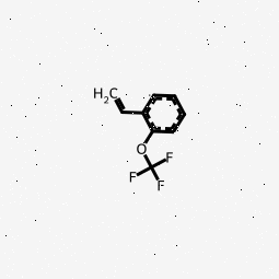 C=Cc1[c]cccc1OC(F)(F)F